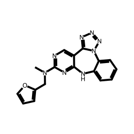 CN(Cc1ccco1)c1ncc2c(n1)Nc1ccccc1-n1nnnc1-2